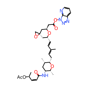 CC(=O)O[C@@H](C)/C=C\C(=O)N[C@@H]1C[C@H](C)[C@H](C/C=C(C)/C=C/[C@@H]2C[C@]3(CO3)C[C@@H](CC(=O)On3nnc4cccnc43)O2)O[C@@H]1C